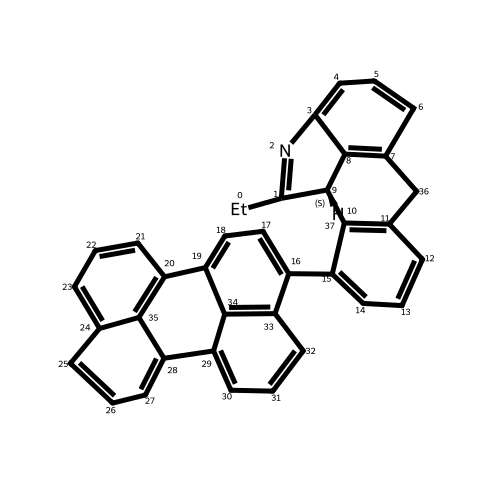 CCC1=Nc2cccc3c2[C@@H]1c1c(cccc1-c1ccc2c4cccc5cccc(c6cccc1c62)c54)C3